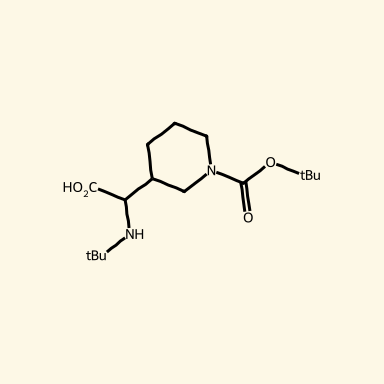 CC(C)(C)NC(C(=O)O)C1CCCN(C(=O)OC(C)(C)C)C1